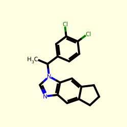 CC(c1ccc(Cl)c(Cl)c1)n1cnc2cc3c(cc21)CCC3